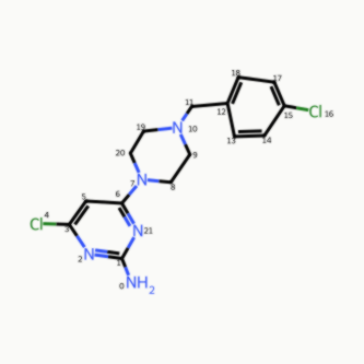 Nc1nc(Cl)cc(N2CCN(Cc3ccc(Cl)cc3)CC2)n1